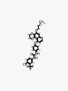 COCCOc1cc2nccc(Oc3ccc(NC(=O)Nc4ccc(Cl)c(C(F)(F)F)c4)cc3)c2c2c1OCCO2